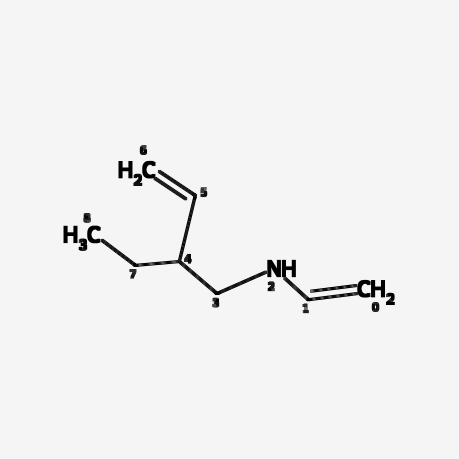 C=CNCC(C=C)CC